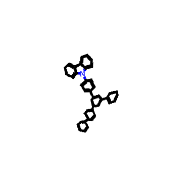 c1ccc(-c2ccc(-c3cc(-c4ccccc4)cc(-c4ccc(-n5c6ccccc6c6ccccc65)cc4)c3)cc2)cc1